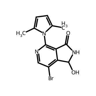 Cc1ccc(C)n1-c1ncc(Br)c2c1C(=O)NC2O